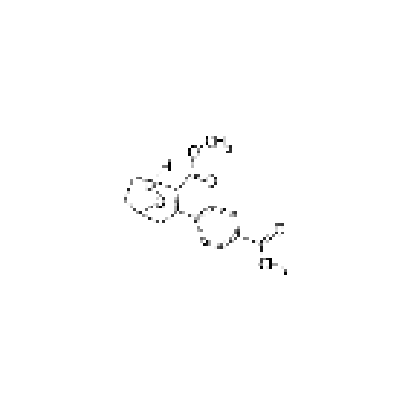 COC(=O)C1=C(c2ccc(C(C)=O)cc2)CC2CC[C@@H]1O2